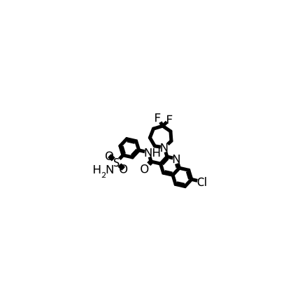 NS(=O)(=O)c1cccc(NC(=O)c2cc3ccc(Cl)cc3nc2N2CCCC(F)(F)CC2)c1